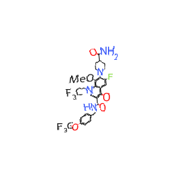 COc1c(N2CCC(C(N)=O)CC2)c(F)cc2c(=O)c(C(=O)NCc3ccc(OC(F)(F)F)cc3)cn(CC(F)(F)F)c12